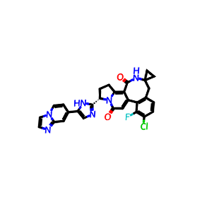 O=C1NC2(CC2)Cc2ccc(Cl)c(F)c2-c2cc(=O)n3c(c21)CC[C@H]3c1ncc(-c2ccn3ccnc3c2)[nH]1